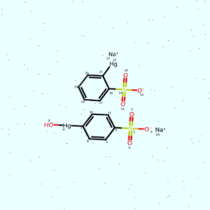 O=S(=O)([O-])c1cc[c]([Hg][OH])cc1.O=S(=O)([O-])c1cccc[c]1[Hg].[Na+].[Na+]